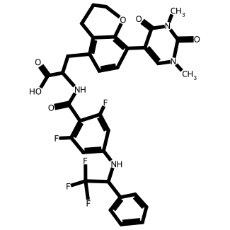 Cn1cc(-c2ccc(CC(NC(=O)c3c(F)cc(NC(c4ccccc4)C(F)(F)F)cc3F)C(=O)O)c3c2OCCC3)c(=O)n(C)c1=O